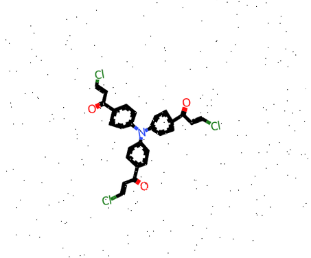 O=C(C=CCl)c1ccc(N(c2ccc(C(=O)C=CCl)cc2)c2ccc(C(=O)C=CCl)cc2)cc1